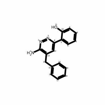 Nc1nnc(-c2ccccc2O)cc1Cc1ccccc1